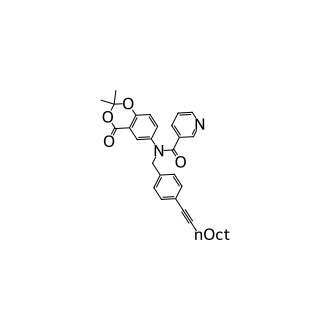 CCCCCCCCC#Cc1ccc(CN(C(=O)c2cccnc2)c2ccc3c(c2)C(=O)OC(C)(C)O3)cc1